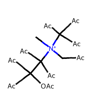 CC(=O)C[N+](C)(C(C(C)=O)(C(C)=O)C(C)=O)C(C(C)=O)(C(C)=O)C(OC(C)=O)(C(C)=O)C(C)=O